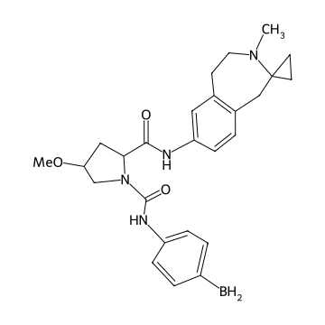 Bc1ccc(NC(=O)N2CC(OC)CC2C(=O)Nc2ccc3c(c2)CCN(C)C2(CC2)C3)cc1